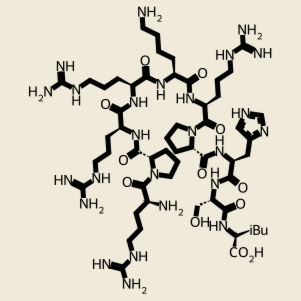 CC[C@H](C)[C@H](NC(=O)[C@H](CO)NC(=O)[C@H](Cc1c[nH]cn1)NC(=O)[C@@H]1CCCN1C(=O)[C@H](CCCNC(=N)N)NC(=O)[C@H](CCCCN)NC(=O)[C@H](CCCNC(=N)N)NC(=O)[C@H](CCCNC(=N)N)NC(=O)[C@@H]1CCCN1C(=O)[C@@H](N)CCCNC(=N)N)C(=O)O